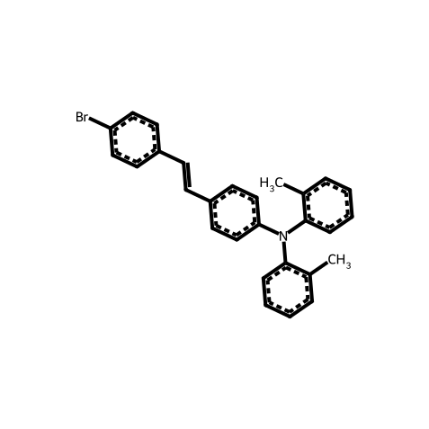 Cc1ccccc1N(c1ccc(C=Cc2ccc(Br)cc2)cc1)c1ccccc1C